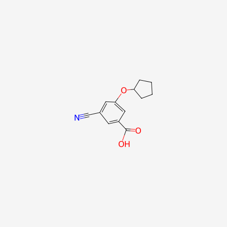 N#Cc1cc(OC2CCCC2)cc(C(=O)O)c1